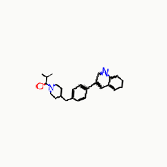 CC(C)C(=O)N1CCC(Cc2ccc(-c3cnc4c(c3)=CCCC=4)cc2)CC1